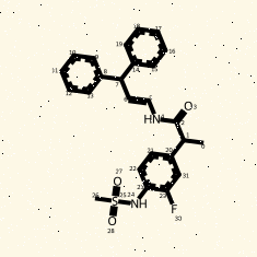 CC(C(=O)NC=CC(c1ccccc1)c1ccccc1)c1ccc(NS(C)(=O)=O)c(F)c1